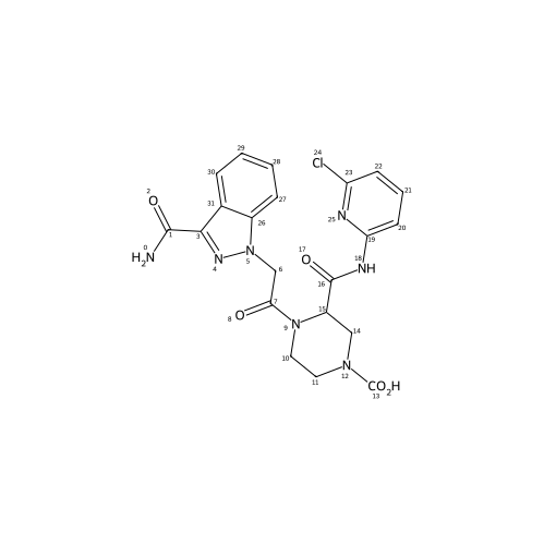 NC(=O)c1nn(CC(=O)N2CCN(C(=O)O)CC2C(=O)Nc2cccc(Cl)n2)c2ccccc12